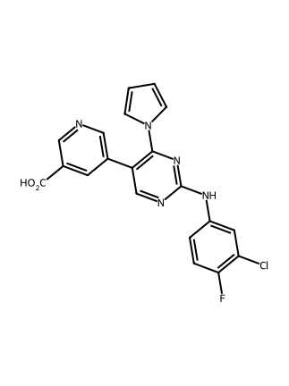 O=C(O)c1cncc(-c2cnc(Nc3ccc(F)c(Cl)c3)nc2-n2cccc2)c1